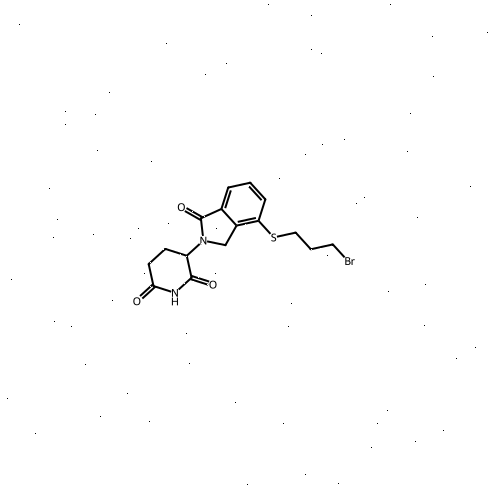 O=C1CCC(N2Cc3c(SCCCBr)cccc3C2=O)C(=O)N1